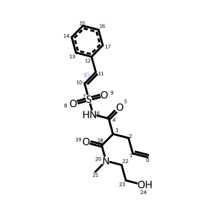 C=CCC(C(=O)NS(=O)(=O)/C=C/c1ccccc1)C(=O)N(C)CCO